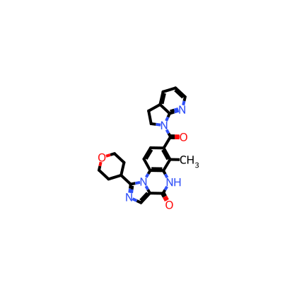 Cc1c(C(=O)N2CCc3cccnc32)ccc2c1[nH]c(=O)c1cnc(C3CCOCC3)n12